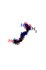 Cn1c(=O)n([C@@H]2CCC(=O)NC2=O)c2ccc(CCCN3CCN(c4nccc(-c5csc(C67CCC(CNC(=O)c8cc(F)c(O)c(F)c8F)(CC6)CC7)n5)n4)CC3)cc21